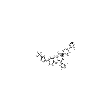 Cn1cncc1-c1ccc(NC(=O)[C@H](Cc2cc(-c3cnn(C(C)(C)C)c3)ccc2Cl)NC(=O)c2ccnn2C)cc1